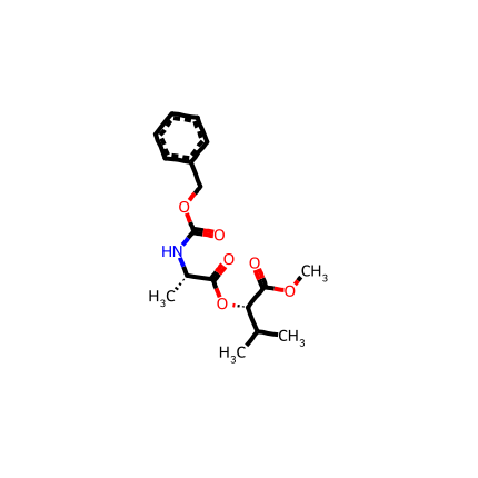 COC(=O)[C@@H](OC(=O)[C@H](C)NC(=O)OCc1ccccc1)C(C)C